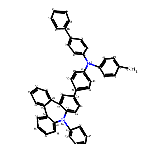 Cc1ccc(N(c2ccc(-c3ccccc3)cc2)c2ccc(-c3ccc4c(c3)-c3ccccc3-c3ccccc3N4c3ccccc3)cc2)cc1